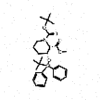 COC(=O)[C@@H]1[C@H](O[Si](c2ccccc2)(c2ccccc2)C(C)(C)C)CCCN1C(=O)OC(C)(C)C